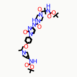 CC(COc1ccc(-n2ccc(NC(=O)N3CCN(C(=O)C(C)(C)NC(=O)OC(C)(C)C)CC3)nc2=O)cc1)N1CC2C(C1)C2NC(=O)OC(C)(C)C